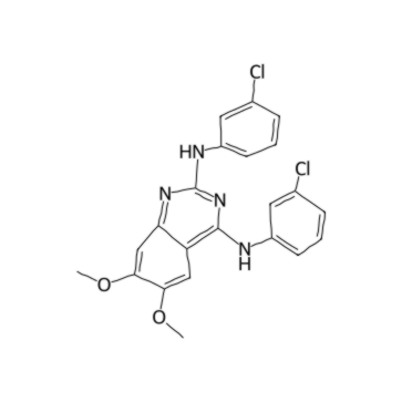 COc1cc2nc(Nc3cccc(Cl)c3)nc(Nc3cccc(Cl)c3)c2cc1OC